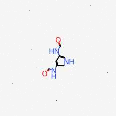 O=CNC1=CNCC(NC=O)=C1